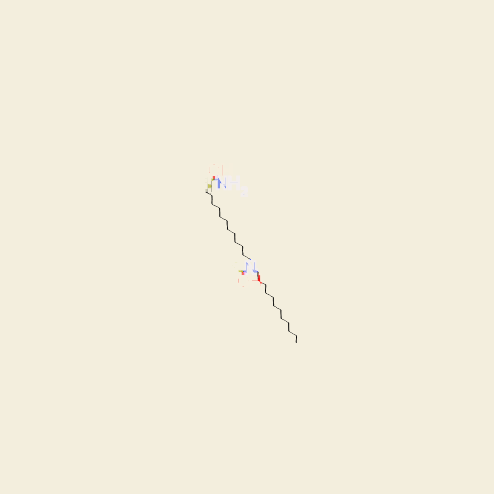 CCCCCCCCCCCCN(CCCCCCCCCCCC)C(O)=S.NC(O)=S.[LiH]